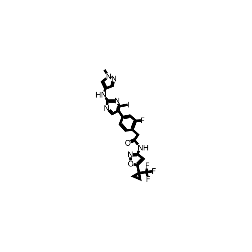 Cn1cc(Nc2ncc(-c3ccc(CC(=O)Nc4cc(C5(C(F)(F)F)CC5)on4)c(F)c3)c(I)n2)cn1